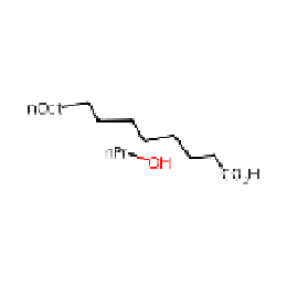 CCCCCCCCCCCCCCCC(=O)O.CCCO